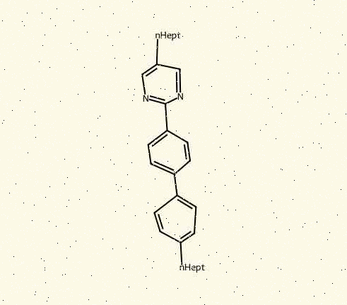 CCCCCCCc1ccc(-c2ccc(-c3ncc(CCCCCCC)cn3)cc2)cc1